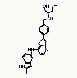 Cc1cc2cc(Nc3ccnc4cc(-c5ccc(CNC(CO)CO)cc5)sc34)ccc2[nH]1